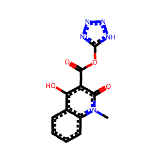 Cn1c(=O)c(C(=O)Oc2nnn[nH]2)c(O)c2ccccc21